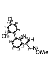 CON=Cc1[nH]nc2c(-c3ccc(Cl)cc3Cl)cccc12